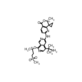 C[C@H](CCS(C)(=O)=O)Oc1ncc(C(C)(C)N)c2cc(Nc3ccc4c(n3)C3(CC3)[C@@H](C)OC4=O)ncc12